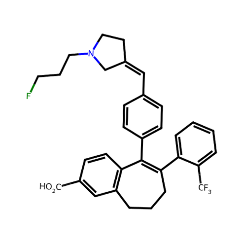 O=C(O)c1ccc2c(c1)CCCC(c1ccccc1C(F)(F)F)=C2c1ccc(C=C2CCN(CCCF)C2)cc1